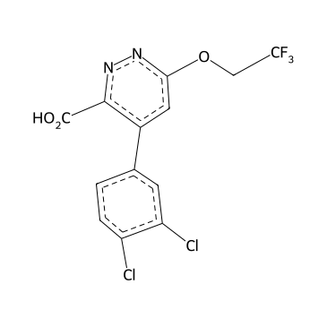 O=C(O)c1nnc(OCC(F)(F)F)cc1-c1ccc(Cl)c(Cl)c1